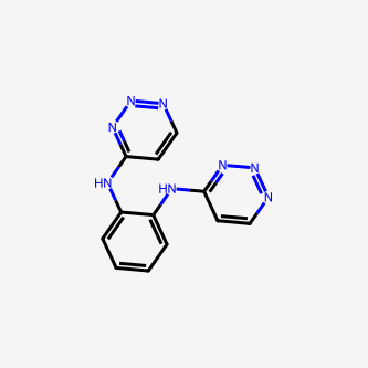 c1ccc(Nc2ccnnn2)c(Nc2ccnnn2)c1